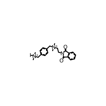 C[N+](C)(I)Cc1ccc(C[N+](C)(C)CCN2C(=O)c3ccccc3C2=O)cc1